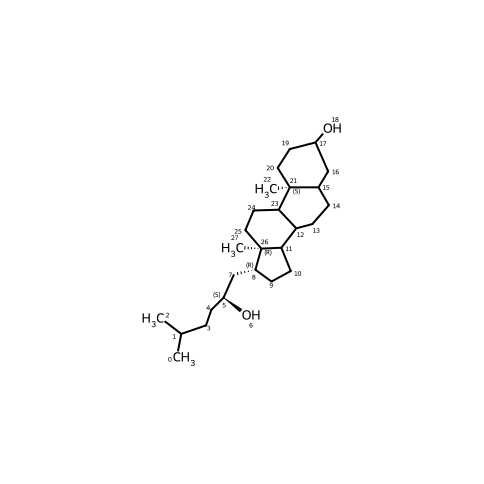 CC(C)CC[C@H](O)C[C@H]1CCC2C3CCC4CC(O)CC[C@]4(C)C3CC[C@@]21C